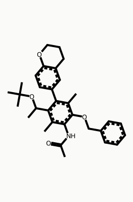 CC(=O)Nc1c(C)c(C(C)OC(C)(C)C)c(-c2ccc3c(c2)CCCO3)c(C)c1OCc1ccccc1